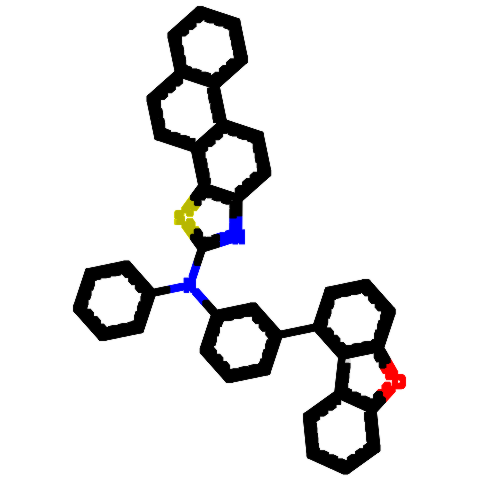 c1ccc(N(c2cccc(-c3cccc4oc5ccccc5c34)c2)c2nc3ccc4c5ccccc5ccc4c3s2)cc1